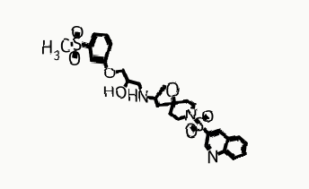 CS(=O)(=O)c1cccc(OCC(O)CNC2COC3(CCN(S(=O)(=O)c4cnc5ccccc5c4)CC3)C2)c1